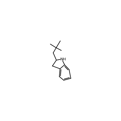 CC(C)(C)CC1Cc2ccccc2N1